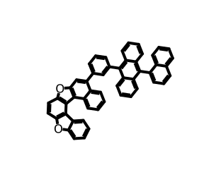 c1cc(-c2c3ccccc3c(-c3cccc4ccccc34)c3ccccc23)cc(-c2cc3oc4ccc5oc6ccccc6c5c4c3c3ccccc23)c1